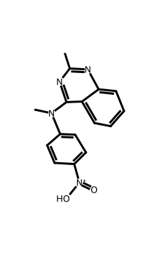 Cc1nc(N(C)c2ccc([N+](=O)O)cc2)c2ccccc2n1